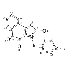 O=C1C(=O)c2c(oc(=O)n2Cc2ccc(F)cc2)-c2ccccc21